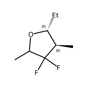 CC[C@H]1OC(C)C(F)(F)[C@@H]1C